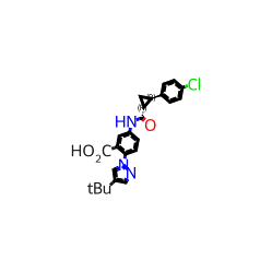 CC(C)(C)c1cnn(-c2ccc(NC(=O)[C@@H]3C[C@H]3c3ccc(Cl)cc3)cc2C(=O)O)c1